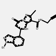 C#CCNC(=O)c1c(C)nn2c(=O)cc(-c3cccc4c3cnn4CC)[nH]c12